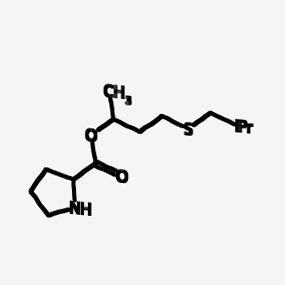 CC(C)CSCCC(C)OC(=O)C1CCCN1